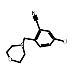 N#Cc1cc(Cl)ccc1CN1CCOCC1